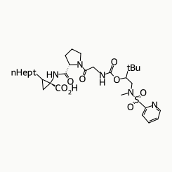 CCCCCCCC1C[C@]1(NC(=O)[C@@H]1CCCN1C(=O)CNC(=O)OC(CN(C)S(=O)(=O)c1ccccn1)C(C)(C)C)C(=O)O